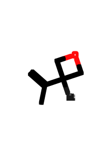 C=C(C)C1(CC)COC1